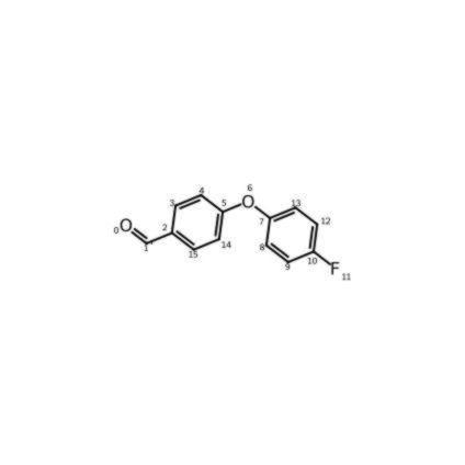 O=[C]c1ccc(Oc2ccc(F)cc2)cc1